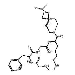 CNCCCCC(NC(=O)CNC(=O)C(Cc1ccccc1)NC(=O)CNC)C(=O)N1CCC2(CC1)CN(C(C)=O)C2